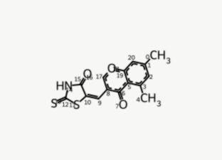 Cc1cc(C)c2c(=O)c(C=C3SC(=S)NC3=O)coc2c1